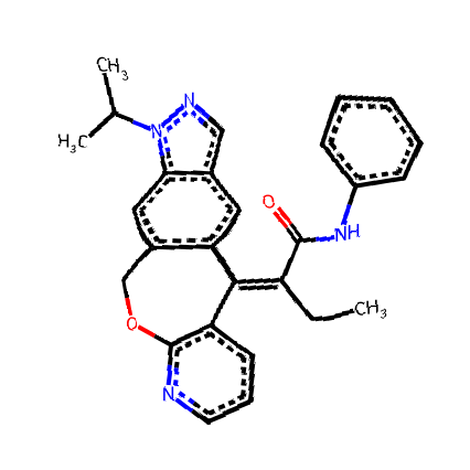 CCC(C(=O)Nc1ccccc1)=C1c2cc3cnn(C(C)C)c3cc2COc2ncccc21